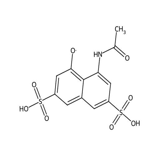 CC(=O)Nc1cc(S(=O)(=O)O)cc2cc(S(=O)(=O)O)cc([O])c12